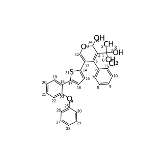 CC(C)(O)C1=C(c2ccccc2Cl)C(c2ccc(-c3ccccc3Oc3ccccc3)s2)=COC1O